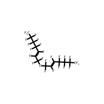 FC(=C(F)C(F)(F)C(F)(F)C(F)(F)C(F)(F)F)C(F)(F)OC(F)(F)C(F)=C(F)C(F)(F)C(F)(F)C(F)(F)C(F)(F)F